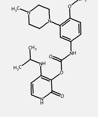 COc1ccc(NC(=O)Oc2c(NC(C)C)cc[nH]c2=O)cc1N1CCN(C)CC1